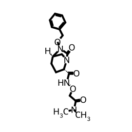 CN(C)C(=O)CONC(=O)[C@@H]1CC[C@@H]2CN1C(=O)N2OCc1ccccc1